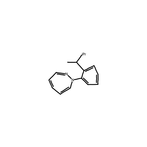 CC(C)C(C)c1ccccc1N1C=CC=CC=N1